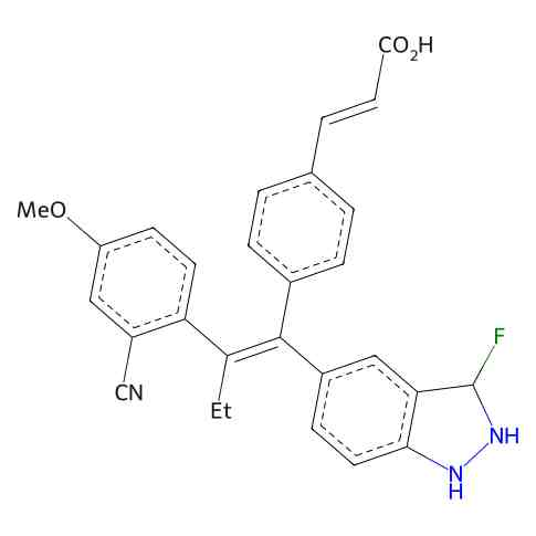 CC/C(=C(/c1ccc(/C=C/C(=O)O)cc1)c1ccc2c(c1)C(F)NN2)c1ccc(OC)cc1C#N